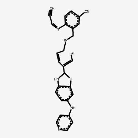 C#C/C=N\c1ccc(C#N)cc1CNC/C=C\C(=C/CCC)C1Nc2ccc(Nc3ccncc3)cc2O1